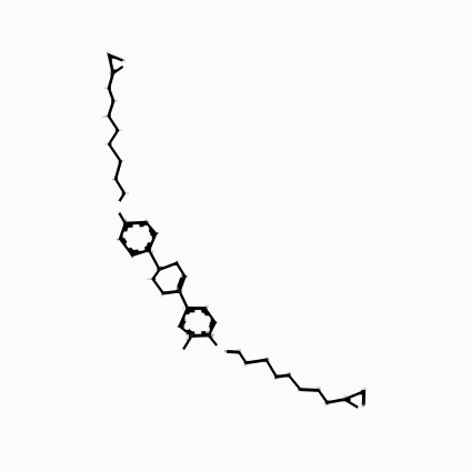 Cc1cc(C2=CCC(c3ccc(OCCCCCCCCC4CO4)cc3)CC2)ccc1OCCCCCCCCC1CO1